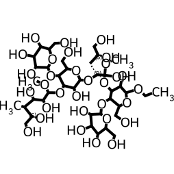 CCOC1OC(CO)C(OC2OC(CO)C(O)C(O)C2O)C(OC(O)(OC)[C@@H](C[C@H](O)CO)OC2OC(CO)C(OC3OC(CO)C(O)C(O)C3O)C(OC(OC)C(O)C(O)C(C)[C@H](O)CO)C2O)C1O